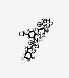 C[N+]1(c2ccc(Cl)cc2NS(=O)(=O)c2cc3ccccc3o2)C=NC(S(N)(=O)=O)=C1